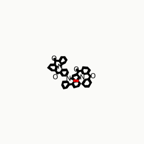 O=c1c2ccccc2n2c3ccc(N(c4ccc5c(c4)c(=O)c4cccc6c(=O)c7ccccc7n5c64)c4ccccc4-c4ccccc4)cc3c(=O)c3cccc1c32